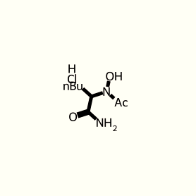 CCCCC(C(N)=O)N(O)C(C)=O.Cl